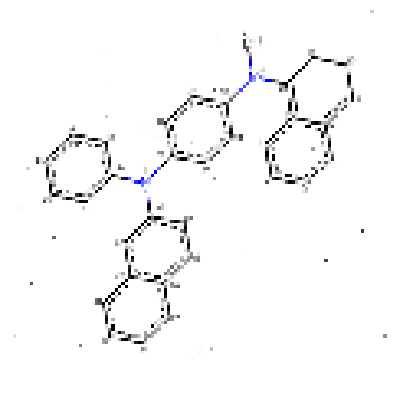 CN(C1=c2ccccc2=CCC1)c1ccc(N(c2ccccc2)c2ccc3ccccc3c2)cc1